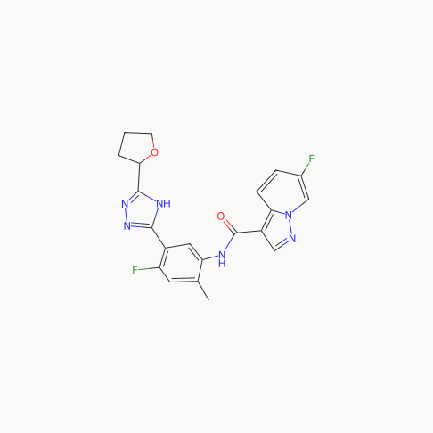 Cc1cc(F)c(-c2nnc(C3CCCO3)[nH]2)cc1NC(=O)c1cnn2cc(F)ccc12